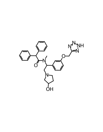 CN(C(=O)C(c1ccccc1)c1ccccc1)C(CN1CCC(O)C1)c1cccc(OCc2nn[nH]n2)c1